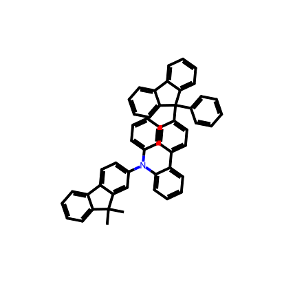 CC1(C)c2ccccc2-c2ccc(N(c3ccccc3)c3ccccc3-c3ccc(C4(c5ccccc5)c5ccccc5-c5ccccc54)cc3)cc21